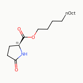 CCCCCCCCCCCCOC(=O)[C@@H]1CCC(=O)N1